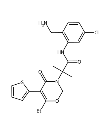 CCC1=C(c2cccs2)C(=O)N(C(C)(C)C(=O)Nc2cc(Cl)ccc2CN)CO1